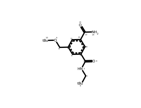 CC(C)(C)CNC(=O)c1cc(COC(C)(C)C)cc(C(N)=O)c1